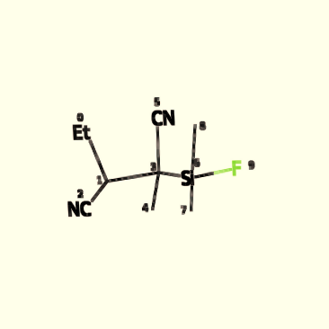 CCC(C#N)C(C)(C#N)[Si](C)(C)F